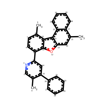 Cc1cnc(-c2ccc(C)c3c2oc2cc(C)c4ccccc4c23)cc1-c1ccccc1